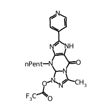 CCCCCN1c2nc(-c3ccncc3)[nH]c2C(=O)N2C(C)=NN(OC(=O)C(F)(F)F)C21